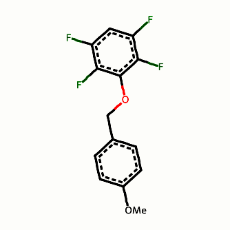 COc1ccc(COc2c(F)c(F)cc(F)c2F)cc1